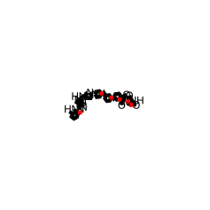 Cc1cccc(C)c1Nc1nn(C)c2nc(Nc3ccc(N4CCN(CC5CCCN(c6ccc7c(c6)C(=O)N(C6CCC(=O)NC6=O)C7=O)C5)CC4)nc3)ncc12